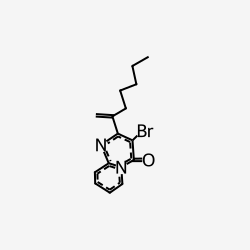 C=C(CCCCC)c1nc2ccccn2c(=O)c1Br